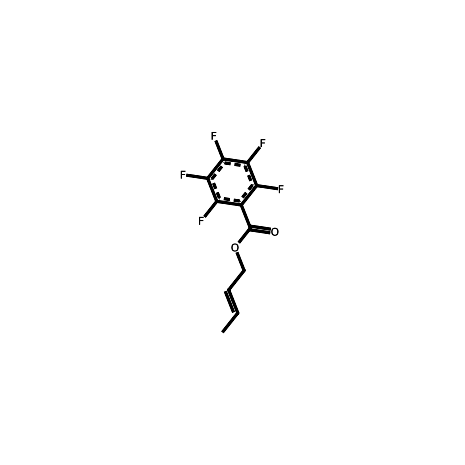 CC=CCOC(=O)c1c(F)c(F)c(F)c(F)c1F